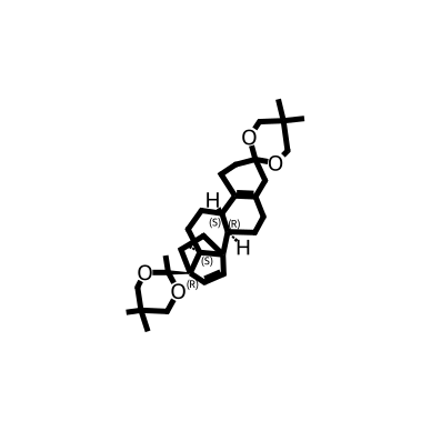 CC1(C)COC2(CCC3=C(CC[C@@H]4[C@@H]3CC[C@@]3(C)C45C=C[C@]3(C3(C)OCC(C)(C)CO3)CC5)C2)OC1